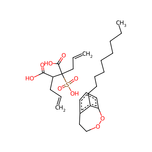 C=CCC(C(=O)O)C(CC=C)(C(=O)O)S(=O)(=O)O.CCCCCCCCCc1c2cccc1OOCC2